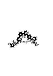 COc1cc(-c2nccc(-c3cccc(-c4ccc(CNC[C@@H]5CCC(=O)N5)c(OC)n4)c3Cl)c2Cl)ccc1CN1CCC[C@@H]1C(=O)OC(C)C